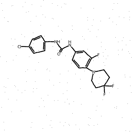 O=C(Nc1ccc(Cl)cc1)Nc1ccc(N2CCC(F)(F)CC2)c(F)c1